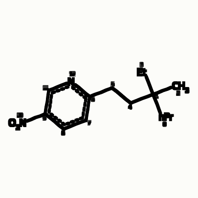 CCCC(C)(CC)CCc1ccc([N+](=O)[O-])cn1